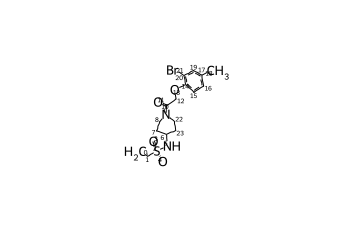 C=CS(=O)(=O)NC1CCN(C(=O)COc2ccc(C)cc2Br)CC1